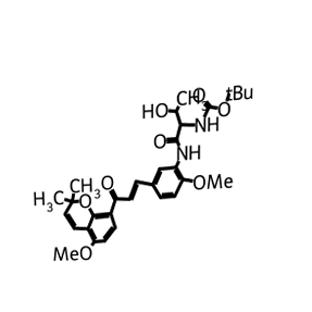 COc1ccc(/C=C/C(=O)c2ccc(OC)c3c2OC(C)(C)C=C3)cc1NC(=O)C(NC(=O)OC(C)(C)C)C(C)O